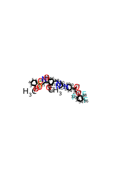 COc1ccccc1S(=O)(=O)Cc1noc2cc(Cn3cc(N4CCC(C(=O)COc5c(F)ccc(F)c5F)CC4)cn3)cc(OC)c12